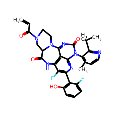 C=CC(=O)N1CCN2c3nc(=O)n(-c4c(C)ccnc4C(C)C)c4nc(-c5c(O)cccc5F)c(F)c(c34)NC(=O)C2C1